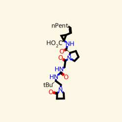 CCCCC/C=C\C1C[C@]1(NC(=O)[C@@H]1CCCN1C(=O)CNC(=O)N[C@H](CN1CCCC1=O)C(C)(C)C)C(=O)O